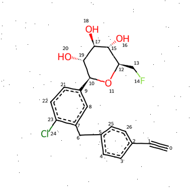 C#Cc1ccc(Cc2cc([C@@H]3O[C@H](CF)[C@@H](O)[C@H](O)[C@H]3O)ccc2Cl)cc1